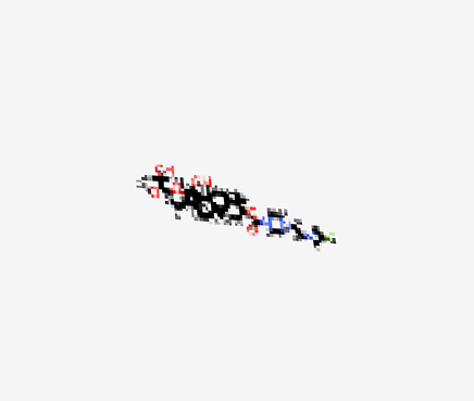 CCO[C@@H]([C@H]1C[C@@H](C)[C@H]2[C@H](O1)[C@H](O)[C@@]1(C)[C@@H]3CC[C@H]4C(C)(C)[C@@H](OC(=O)N5CCN(CCN6CC(F)C6)CC5)CC[C@@]45C[C@@]35CC[C@]21C)C(C)(C)O